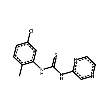 Cc1ccc(Cl)cc1NC(=S)Nc1cnccn1